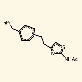 C[C](C)Cc1ccc(CCc2csc(NC(C)=O)n2)cc1